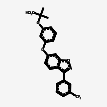 CC(C)(Oc1cccc(Oc2ccc3c(-c4cccc(C(F)(F)F)c4)noc3c2)c1)C(=O)O